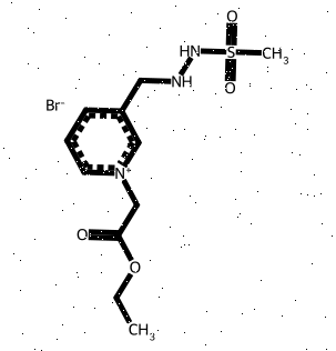 CCOC(=O)C[n+]1cccc(CNNS(C)(=O)=O)c1.[Br-]